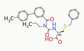 CCCN(C(=O)N[C@@H](CSCc1ccccc1)C(=O)O)C(=O)c1cccc(-c2ccc(C)cc2)c1